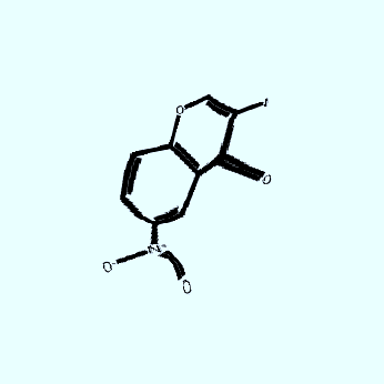 O=c1c(I)coc2ccc([N+](=O)[O-])cc12